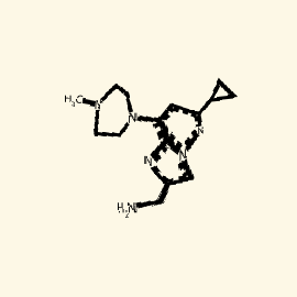 CN1CCN(c2cc(C3CC3)nn3cc(CN)nc23)CC1